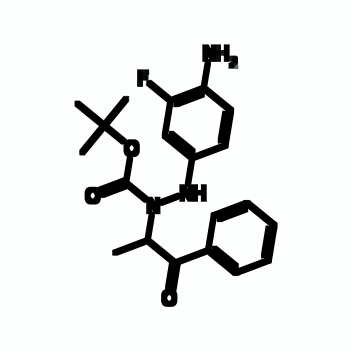 CC(C(=O)c1ccccc1)N(Nc1ccc(N)c(F)c1)C(=O)OC(C)(C)C